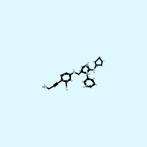 OCC#Cc1ccc(OCc2cnc(SC3CCCC3)n2-c2cccnc2)cc1F